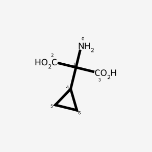 NC(C(=O)O)(C(=O)O)C1CC1